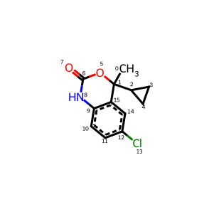 CC1(C2CC2)OC(=O)Nc2ccc(Cl)cc21